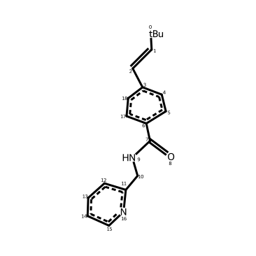 CC(C)(C)/C=C/c1ccc(C(=O)NCc2ccccn2)cc1